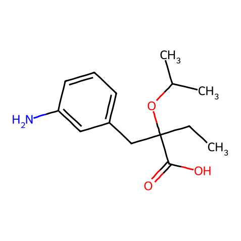 CCC(Cc1cccc(N)c1)(OC(C)C)C(=O)O